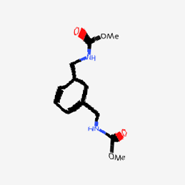 COC(=O)NCC1=CC=CC(CNC(=O)OC)C1